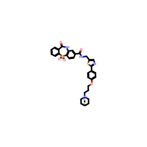 O=C(NCc1cnc(-c2ccc(OCCC[N+]34CCC(CC3)CC4)cc2)s1)c1ccc2c(c1)NC(=O)c1ccccc1S2(=O)=O